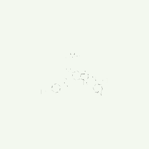 COCCOc1cc2c(cc1C(=O)Nc1ccc(Br)cc1)nc(Nc1c(Cl)cncc1Cl)n2C